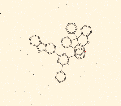 c1ccc(-c2cc(-c3ccccc3-c3ccccc3C3(c4ccccc4)c4ccccc4Oc4ccccc43)nc(-c3ccc4c(c3)oc3ccccc34)n2)cc1